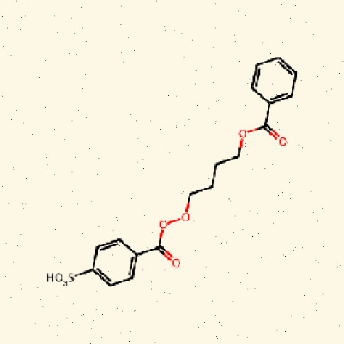 O=C(OCCCCOOC(=O)c1ccc(S(=O)(=O)O)cc1)c1ccccc1